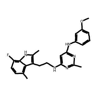 COc1cccc(Nc2cc(NCCc3c(C)[nH]c4c(F)ccc(C)c34)nc(C)n2)c1